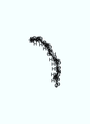 COC(=O)CCNC(=O)c1nc(NC(=O)c2cc(NC(=O)CCNC(=O)c3nc(NC(=O)CCCNC(=O)c4cc(NC(=O)c5nc(NC(=O)CCNC(=O)c6cc(NC(=O)c7nccn7C)cn6C)cn5C)cn4C)cn3C)cn2C)cn1C